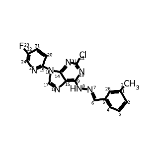 Cc1cccc(/C=N/Nc2nc(Cl)nc3c2ncn3-c2ccc(F)cn2)c1